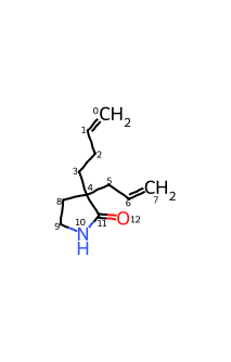 C=CCCC1(CC=C)CCNC1=O